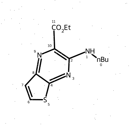 CCCCNc1nc2sccc2nc1C(=O)OCC